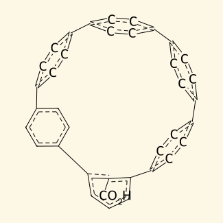 O=C(O)c1c2cccc1-c1ccc(cc1)-c1ccc(cc1)-c1ccc(cc1)-c1ccc(cc1)-c1ccc-2cc1